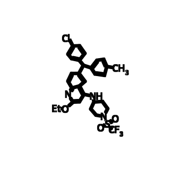 CCOc1cc(NC2CCN(S(=O)(=O)C(F)(F)F)CC2)c2cc(C(c3ccc(C)cc3)c3ccc(Cl)cc3)ccc2n1